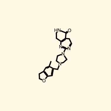 Cc1cc2c(cc1CN1CCN(C3=NC4=C(CC=N3)C(=O)NCC4)CC1)OCC2